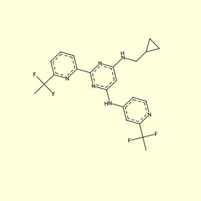 CC(F)(F)c1cc(Nc2cc(NCC3CC3)nc(-c3cccc(C(C)(F)F)n3)n2)ccn1